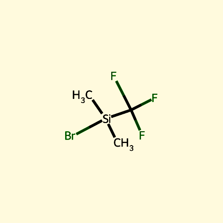 C[Si](C)(Br)C(F)(F)F